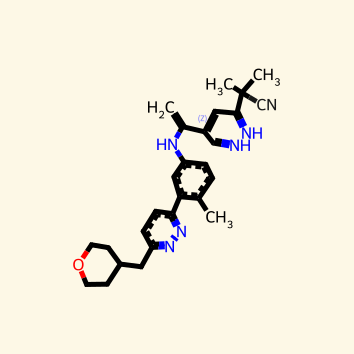 C=C(Nc1ccc(C)c(-c2ccc(CC3CCOCC3)nn2)c1)/C(C=N)=C/C(=N)C(C)(C)C#N